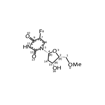 COC[C@H]1O[C@@H](n2cc(F)c(=O)[nH]c2=O)C[C@H]1O